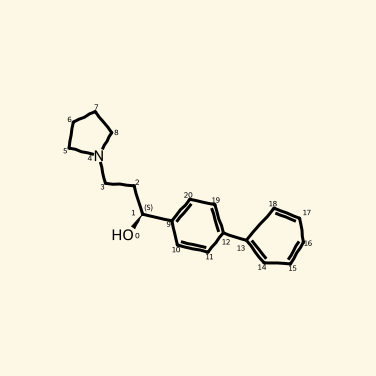 O[C@@H](CCN1CCCC1)c1ccc(-c2ccccc2)cc1